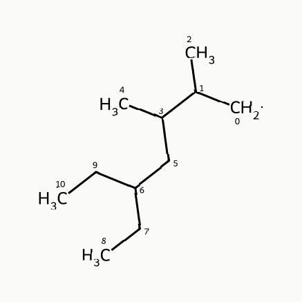 [CH2]C(C)C(C)CC(CC)CC